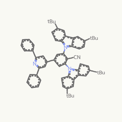 CC(C)(C)c1ccc2c(c1)c1cc(C(C)(C)C)ccc1n2-c1cc(-c2cc(-c3ccccc3)nc(-c3ccccc3)c2)cc(-n2c3ccc(C(C)(C)C)cc3c3cc(C(C)(C)C)ccc32)c1C#N